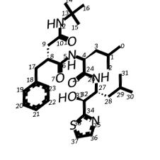 CC(C)C[C@H](NC(=O)[C@@H](CC(=O)NC(C)(C)C)Cc1ccccc1)C(=O)N[C@H](CC(C)C)[C@H](O)c1nccs1